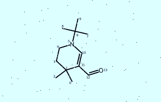 CC1(C)CCN(C(C)(C)C)C=C1C=O